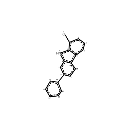 Clc1cccc2c1[nH]c1cc(-c3ccccc3)ccc12